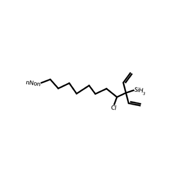 C=CC([SiH3])(C=C)C(Cl)CCCCCCCCCCCCCCCC